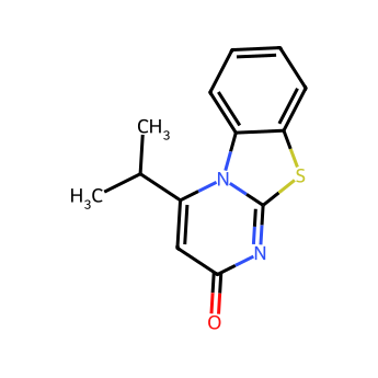 CC(C)c1cc(=O)nc2sc3ccccc3n12